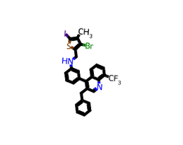 Cc1c(I)sc(CNc2cccc(-c3c(Cc4ccccc4)cnc4c(C(F)(F)F)cccc34)c2)c1Br